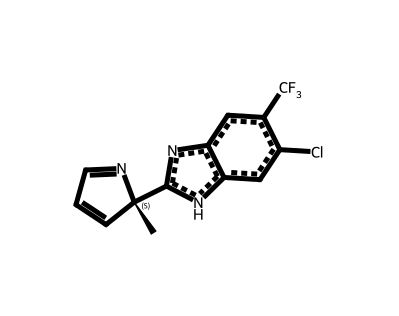 C[C@@]1(c2nc3cc(C(F)(F)F)c(Cl)cc3[nH]2)C=CC=N1